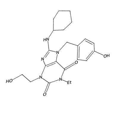 CCn1c(=O)c2c(nc(NC3CCCCC3)n2Cc2ccc(O)cc2)n(CCO)c1=O